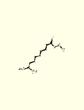 CCCCCCCCCC(CCCCCCCC(=O)OOO)S(=O)(=O)O